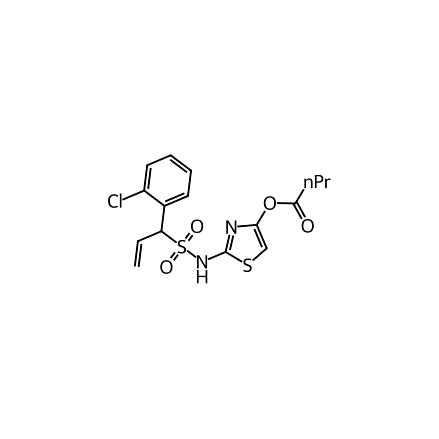 C=CC(c1ccccc1Cl)S(=O)(=O)Nc1nc(OC(=O)CCC)cs1